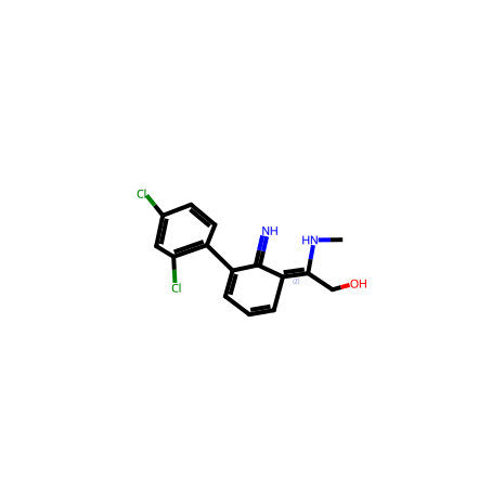 CN/C(CO)=C1/C=CC=C(c2ccc(Cl)cc2Cl)C1=N